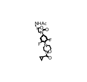 CC(=O)NC[C@H]1CN(c2cc(F)c(N3CCON(C(=O)C4CC4)CC3)c(F)c2)C(=O)O1